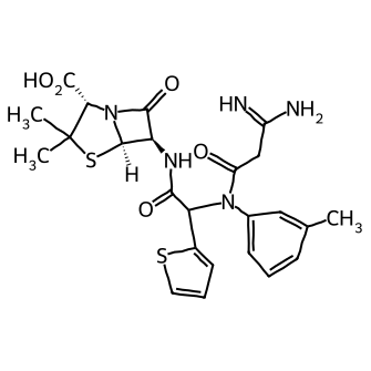 Cc1cccc(N(C(=O)CC(=N)N)C(C(=O)N[C@@H]2C(=O)N3[C@@H]2SC(C)(C)[C@@H]3C(=O)O)c2cccs2)c1